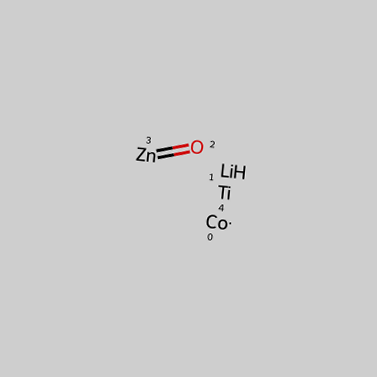 [Co].[LiH].[O]=[Zn].[Ti]